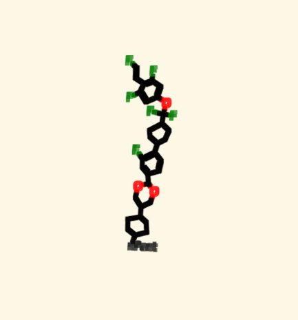 CCCCCC1CCC(C2COC(c3ccc(C4CCC(C(F)(F)Oc5cc(F)c(/C=C/F)c(F)c5)CC4)c(F)c3)OC2)CC1